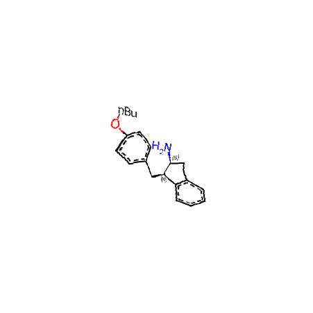 CCCCOc1ccc(C[C@@H]2c3ccccc3C[C@@H]2N)cc1